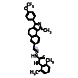 Cc1cccc(C)c1NC(=S)N/N=C/c1ccc2c(c1)CCc1c(-c3ccc(OC(F)(F)F)cc3)nn(C)c1-2